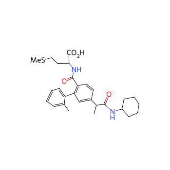 CSCCC(NC(=O)c1ccc(C(C)C(=O)NC2CCCCC2)cc1-c1ccccc1C)C(=O)O